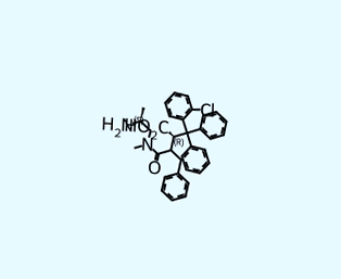 C[C@H](N)CN(C)C(=O)C(Cc1ccccc1)[C@@H](C(=O)O)C(c1ccccc1)(c1ccccc1)c1ccccc1Cl